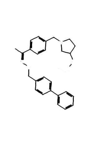 CC(=NOCc1ccc(-c2ccccc2)cc1)c1ccc(CN2CCC(OC(=O)O)C2)cc1